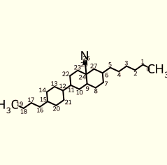 CCCCCCC1CCC2CC(C3CCC(CCCC)CC3)CCC2(C#N)C1